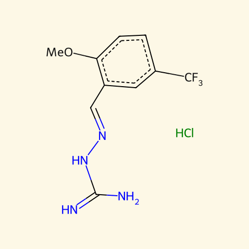 COc1ccc(C(F)(F)F)cc1C=NNC(=N)N.Cl